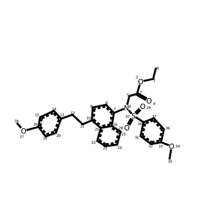 CCOC(=O)CN(c1ccc(CCc2ccc(OC)cc2)c2ccccc12)S(=O)(=O)c1ccc(OC)cc1